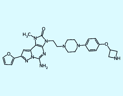 Cn1c(=O)n(CCN2CCN(c3ccc(OC4CNC4)cc3)CC2)c2nc(N)n3nc(-c4ccco4)cc3c21